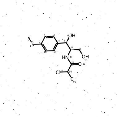 CSc1ccc([C@@H](O)[C@@H](CO)NC(=O)C(Cl)Cl)cc1